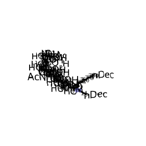 CCCCCCCCCCCCC/C=C/[C@@H](O)[C@H](CO[C@@H]1OC(CO)[C@@H](O[C@@H]2OC(CO)[C@H](O)[C@H](O[C@@H]3OC(CO)[C@@H](O)[C@H](O[C@@H]4OC(CO[C@]5(C(=O)O)CC(O)[C@@H](NC(C)=O)C([C@H](O)[C@H](O)CO)O5)[C@H](O)[C@H](O)C4O)C3NC(C)=O)C2O)[C@H](O)C1O)NC(=O)CCCCCCCCCCCCCCCCC